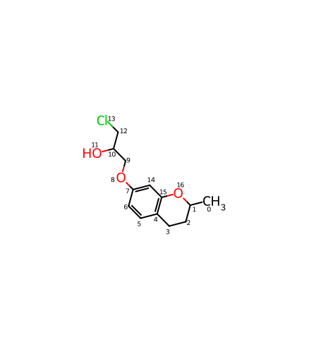 CC1CCc2ccc(OCC(O)CCl)cc2O1